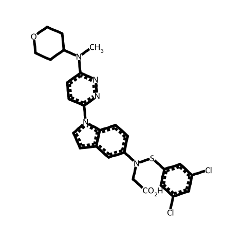 CN(c1ccc(-n2ccc3cc(N(CC(=O)O)Sc4cc(Cl)cc(Cl)c4)ccc32)nn1)C1CCOCC1